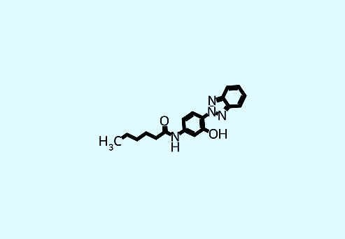 CCCCCC(=O)Nc1ccc(-n2nc3ccccc3n2)c(O)c1